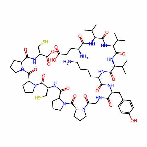 CC(C)[C@H](NC(=O)[C@@H](NC(=O)[C@@H](NC(=O)[C@@H](N)CCC(=O)O)C(C)C)C(C)C)C(=O)N[C@@H](CCCCN)C(=O)N[C@@H](Cc1ccc(O)cc1)C(=O)NCC(=O)N1CCC[C@H]1C(=O)N1CCC[C@H]1C(=O)N[C@@H](CS)C(=O)N1CCC[C@H]1C(=O)N1CCC[C@H]1C(=O)N[C@@H](CS)C(=O)O